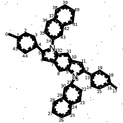 Cc1ccc(-c2cc3cc4c(cc(-c5ccc(C)cc5)n4-c4ccc5ccccc5c4)cc3n2-c2ccc3ccccc3c2)cc1